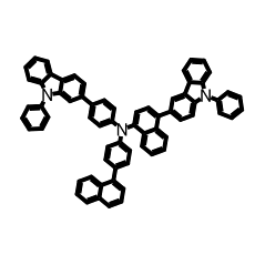 c1ccc(-n2c3ccccc3c3cc(-c4ccc(N(c5ccc(-c6ccc7c8ccccc8n(-c8ccccc8)c7c6)cc5)c5ccc(-c6cccc7ccccc67)cc5)c5ccccc45)ccc32)cc1